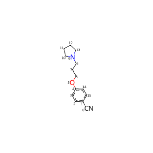 N#Cc1ccc(OCCCN2CCCC2)cc1